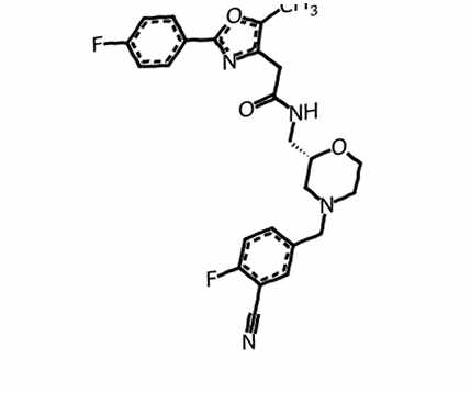 Cc1oc(-c2ccc(F)cc2)nc1CC(=O)NC[C@H]1CN(Cc2ccc(F)c(C#N)c2)CCO1